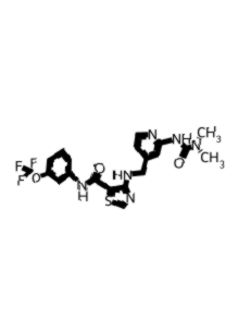 CN(C)C(=O)Nc1cc(CNc2ncsc2C(=O)Nc2cccc(OC(F)(F)F)c2)ccn1